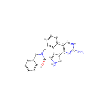 CN(Cc1ccccc1)C(=O)c1cc(-c2nc(N)ncc2-c2ccccc2)c[nH]1